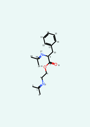 CC(C)=NCCOC(=O)C(Cc1ccccc1)N=C(C)C